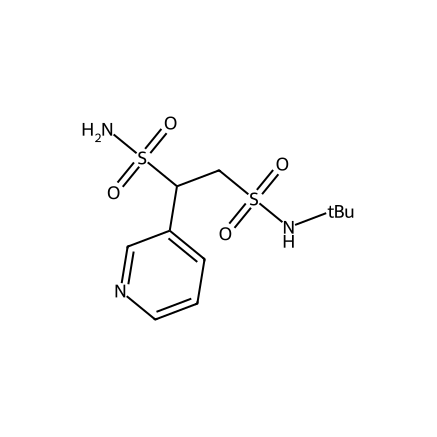 CC(C)(C)NS(=O)(=O)CC(c1cccnc1)S(N)(=O)=O